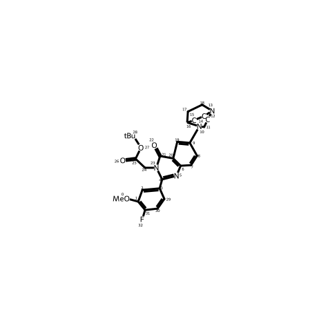 COc1cc(-c2nc3ccc(N4CCN5CCC4CC5)cc3c(=O)n2CC(=O)OC(C)(C)C)ccc1F